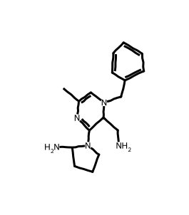 CC1=CN(Cc2ccccc2)[C](CN)C(N2CCCC2N)=N1